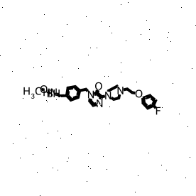 COBNCc1ccc(Cn2ccnc(N3CCN(CCOc4ccc(F)cc4)CC3)c2=O)cc1